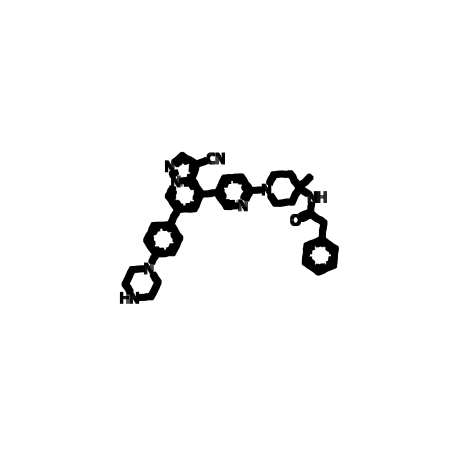 CC1(NC(=O)Cc2ccccc2)CCN(c2ccc(-c3cc(-c4ccc(N5CCNCC5)cc4)cn4ncc(C#N)c34)cn2)CC1